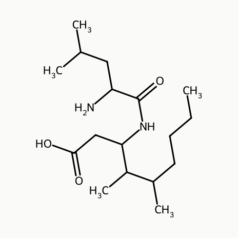 CCCCC(C)C(C)C(CC(=O)O)NC(=O)C(N)CC(C)C